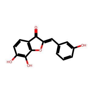 O=C1/C(=C/c2cccc(O)c2)Oc2c1ccc(O)c2O